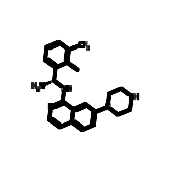 Cc1c([C@@H](N)Nc2nccc3ccc(N4CCNCC4)cc23)cccc1C(F)(F)F